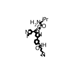 CC(C)C[C@H](N)C(=O)OCn1cc(-c2ccnc(F)c2)c2cc(-c3cccc(NC(=O)/C=C/CN(C)C)c3)cnc21